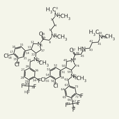 CN(C)CCCN(C)CC(=O)N1CC(c2ccc(Cl)c(Cl)c2)C(N(C)Cc2ccc(C(F)(F)F)c(F)c2)C1.CN(C)CCCNCC(=O)N1CC(c2ccc(Cl)c(Cl)c2)C(N(C)Cc2ccc(C(F)(F)F)c(F)c2)C1